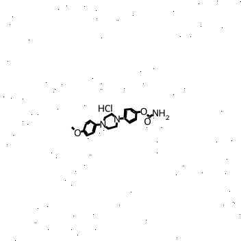 COc1ccc(N2CCN(c3ccc(OC(N)=O)cc3)CC2)cc1.Cl